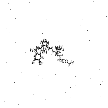 CS(=N)(CCNc1nonc1/C(=N/O)Nc1ccc(F)c(Br)c1)=NCCC(=O)O